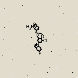 NS1(=O)=NC=CC(CN2CCOc3c(Cl)cc(-n4ccc5cc(F)ccc54)cc3C2)=C1